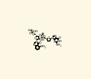 Nc1nc2c(ncn2[C@H]2CC[C@@H](COP(=O)(O)O[C@H]3C(O)[C@H](n4cnc5cccc(N)c5c4=O)O[C@@H]3COP(=O)(O)O)O2)c(=O)[nH]1